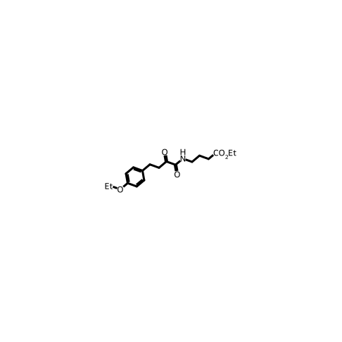 CCOC(=O)CCCNC(=O)C(=O)CCc1ccc(OCC)cc1